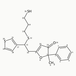 CC1(c2ccccc2)OC(CC(SCCCS)c2ccsc2)=CC1=O